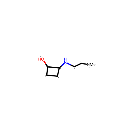 CNCCNC1CCC1O